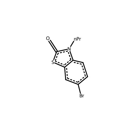 CCCn1c(=O)sc2cc(Br)ccc21